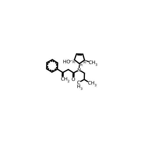 C=C(CC(=O)N(CC(C)C)[C@@H]1[C@H](C)C=C[C@H]1O)c1ccccc1